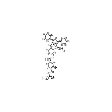 COc1cc(CNc2ccc(CCC(=O)O)c(F)c2)ccc1Cn1nc(-c2ccccc2)cc1-c1ccccc1